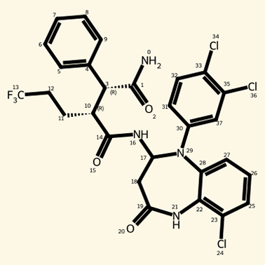 NC(=O)[C@@H](c1ccccc1)[C@@H](CCC(F)(F)F)C(=O)NC1CC(=O)Nc2c(Cl)cccc2N1c1ccc(Cl)c(Cl)c1